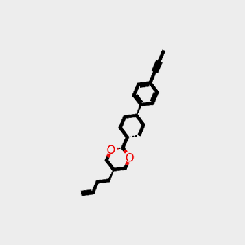 C=CCC[C@H]1CO[C@H]([C@H]2CC[C@H](c3ccc(C#CC)cc3)CC2)OC1